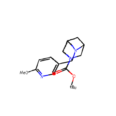 COc1ccc(CN2C3CC2CN(C(=O)OC(C)(C)C)C3)cn1